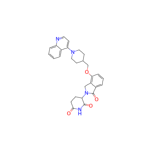 O=C1CCC(N2Cc3c(OCC4CCN(c5ccnc6ccccc56)CC4)cccc3C2=O)C(=O)N1